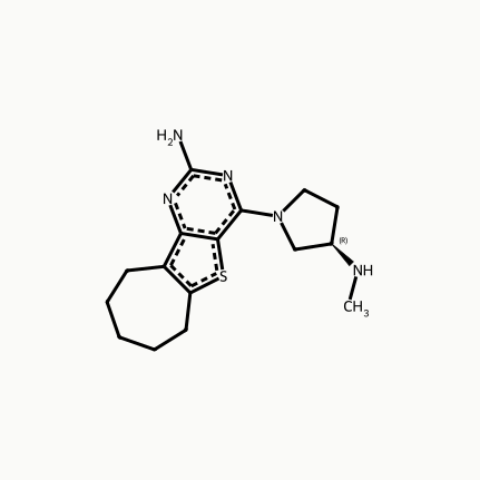 CN[C@@H]1CCN(c2nc(N)nc3c4c(sc23)CCCCC4)C1